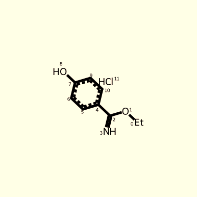 CCOC(=N)c1ccc(O)cc1.Cl